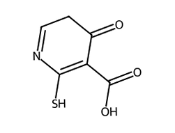 O=C(O)C1=C(S)N=CCC1=O